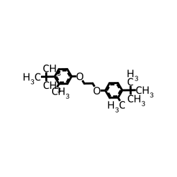 Cc1cc(OCCOc2ccc(C(C)(C)C)c(C)c2)ccc1C(C)(C)C